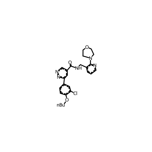 CCCCOc1ccc(-c2cc(C(=O)NCc3cccnc3N3CCOCC3)cnn2)cc1Cl